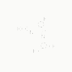 Cc1cc(F)ccc1C1CN(CC(=O)O)CCC1C(=O)N(C)Cc1cc(C(F)(F)F)cc(C(F)(F)F)c1